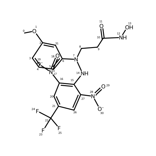 COc1cccc(N(CCC(=O)NO)Nc2c([N+](=O)[O-])cc(C(F)(F)F)cc2[N+](=O)[O-])c1